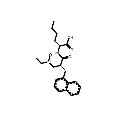 CCCC[C@H](NC(=O)[C@H](Cc1cccc2ccccc12)C[S+]([O-])CC)C(=O)O